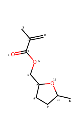 C=C(C)C(=O)OCC1CCC(C)O1